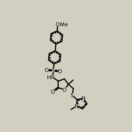 COc1ccc(-c2ccc(S(=O)(=O)NC3CC(C)(CSc4nccn4C)OC3=O)cc2)cc1